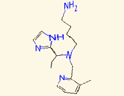 Cc1cccnc1CN(CCCCN)C(C)c1ncc[nH]1